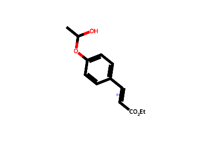 CCOC(=O)/C=C/c1ccc(OC(C)O)cc1